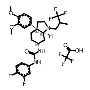 COc1ccc([C@@]23CC[C@@H](NC(=O)Nc4ccc(F)c(F)c4)C[C@@H]2N(CC(C)C(F)(F)F)CC3)cc1OC.O=C(O)C(F)(F)F